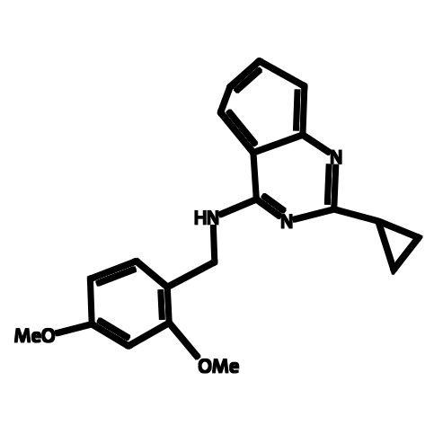 COc1ccc(CNc2nc(C3CC3)nc3ccccc23)c(OC)c1